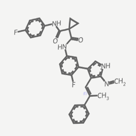 C=Nc1[nH]cc(-c2cc(NC(=O)C3(C(=O)Nc4ccc(F)cc4)CC3)ccc2F)c1/C=C(\C)c1ccccc1